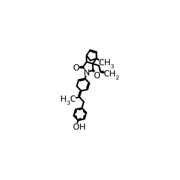 C=CCC12C(=O)N(C3=CCC(=C(C)Cc4ccc(O)cc4)C=C3)C(=O)C1C1C=CC2(C)C1